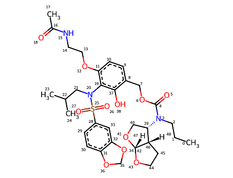 CCCN(C(=O)OCc1ccc(OCCNC(C)=O)c(N(CC(C)C)S(=O)(=O)c2ccc3c(c2)OCO3)c1O)[C@H]1CO[C@H]2OCC[C@H]21